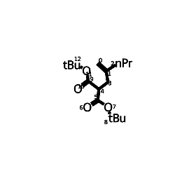 C=C(CCC)CC(C(=O)OC(C)(C)C)C(=O)OC(C)(C)C